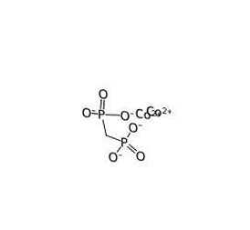 O=P([O-])([O-])CP(=O)([O-])[O-].[Co+2].[Co+2]